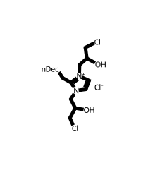 CCCCCCCCCCCc1n(CC(O)CCl)cc[n+]1CC(O)CCl.[Cl-]